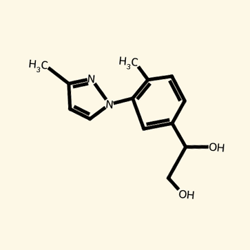 Cc1ccn(-c2cc(C(O)CO)ccc2C)n1